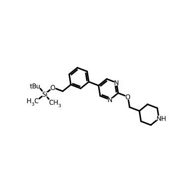 CC(C)(C)[Si](C)(C)OCc1cccc(-c2cnc(OCC3CCNCC3)nc2)c1